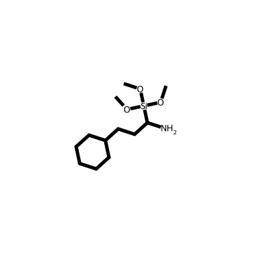 CO[Si](OC)(OC)C(N)CCC1CCCCC1